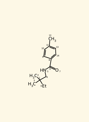 CCC(C)(C)CNC(=O)c1ccc(C)cc1